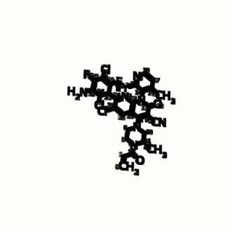 C=CC(=O)N1CCN(c2c(C#N)c(=O)n(-c3c(C)ccnc3C(C)C)c3nc(C4C(F)=C(Cl)C(F)=C(N)C4Cl)c(Cl)cc23)C[C@H]1C